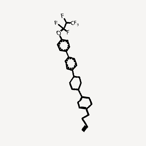 C=CCCC1=CCC(C2CCC(c3ccc(-c4ccc(OC(F)(F)C(F)C(F)(F)F)cc4)cc3)CC2)CC1